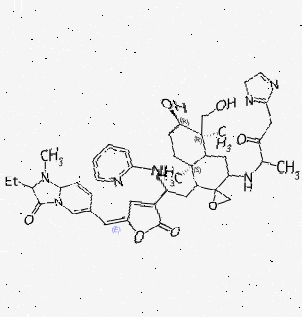 CCC1C(=O)N2C=C(/C=C3\C=C(C(CC4C5(CO5)C(NC(C)C(=O)CC5=NCC=N5)CC5[C@]4(C)CC[C@@H](O)[C@@]5(C)CO)Nc4ccccn4)C(=O)O3)C=CC2N1C